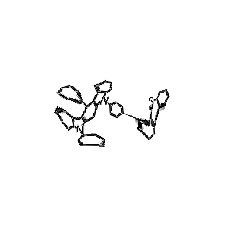 c1ccc(-c2c3c4ccccc4n(-c4ccccc4)c3cc3c2c2ccccc2n3-c2ccc(-c3cccc4c3sc3ccccc34)cc2)cc1